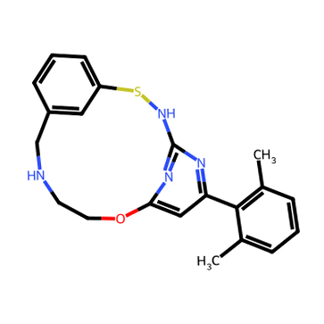 Cc1cccc(C)c1-c1cc2nc(n1)NSc1cccc(c1)CNCCO2